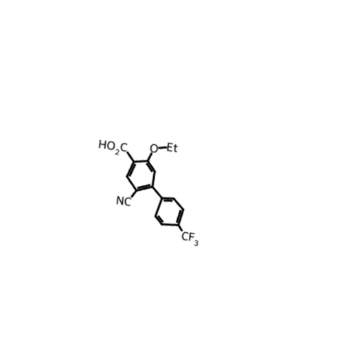 CCOc1cc(-c2ccc(C(F)(F)F)cc2)c(C#N)cc1C(=O)O